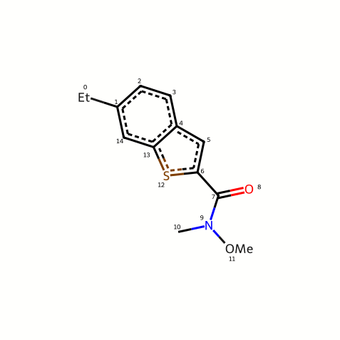 CCc1ccc2cc(C(=O)N(C)OC)sc2c1